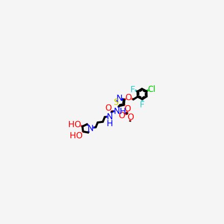 COC(=O)Oc1c(OCc2c(F)cc(Cl)cc2F)nsc1NC(=O)NCCCCN1CC(O)C(O)C1